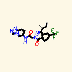 CC[C@@H](C)c1nn(CC(=O)Nc2ccc3nncn3c2)c(=O)c2ccc(C(F)(F)F)cc12